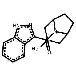 CN1CC2CCC(C1)N2C(=O)c1n[nH]c2ccccc12